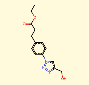 CCOC(=O)CCc1ccc(-n2cc(CO)nn2)cc1